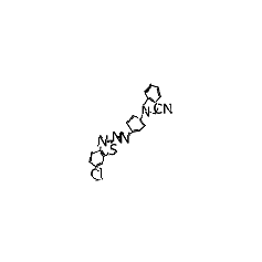 N#CCN(Cc1ccccc1)c1ccc(N=Nc2nc3ccc(Cl)cc3s2)cc1